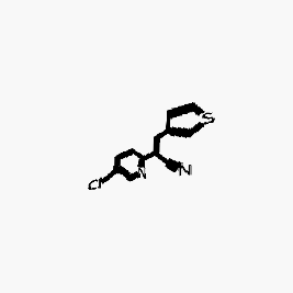 N#C/C(=C\c1ccsc1)c1ccc(Cl)cn1